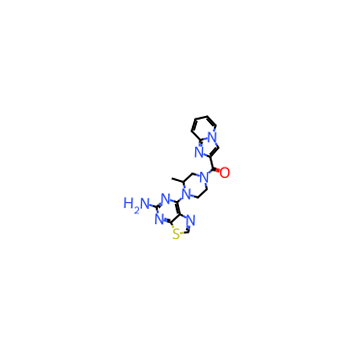 CC1CN(C(=O)c2cn3ccccc3n2)CCN1c1nc(N)nc2scnc12